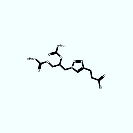 CCCCCCCC(=O)OCC(Cn1cc(CCC(=O)CC)nn1)OC(=O)CCCCCCC